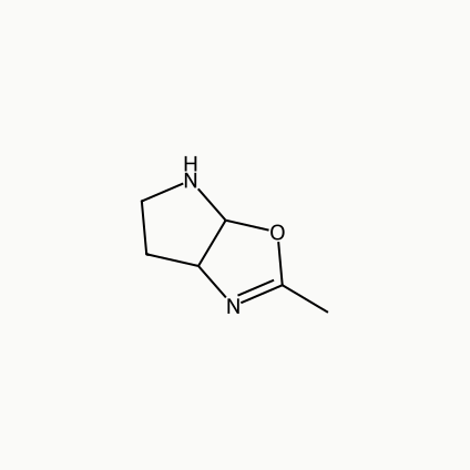 CC1=NC2CCNC2O1